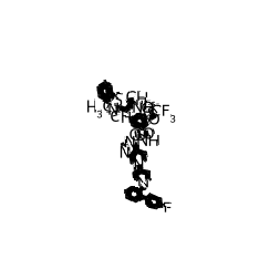 CC(CC(Sc1ccccc1)N(C)C)Nc1ccc(S(=O)(=O)Nc2ncnc3c2CCN(C2CCN(Cc4ccccc4-c4ccc(F)cc4)CC2)C3)cc1S(=O)(=O)C(F)(F)F